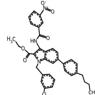 CCCCc1ccc(-c2ccc3c(NC(=O)c4cccc([N+](=O)[O-])c4)c(C(=O)OCC)n(Cc4cccc(Cl)c4)c3c2)cc1